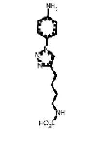 Nc1ccc(-n2cc(CCCCNC(=O)O)nn2)cc1